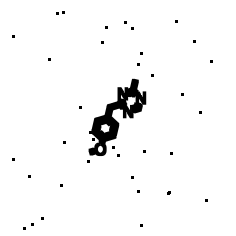 COc1ccc(Cc2ncnc(C)n2)cc1